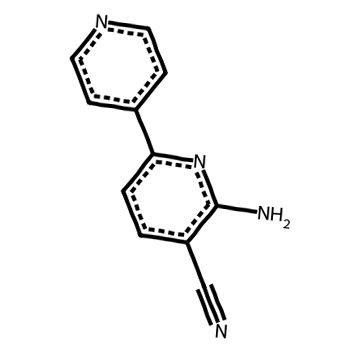 N#Cc1ccc(-c2ccncc2)nc1N